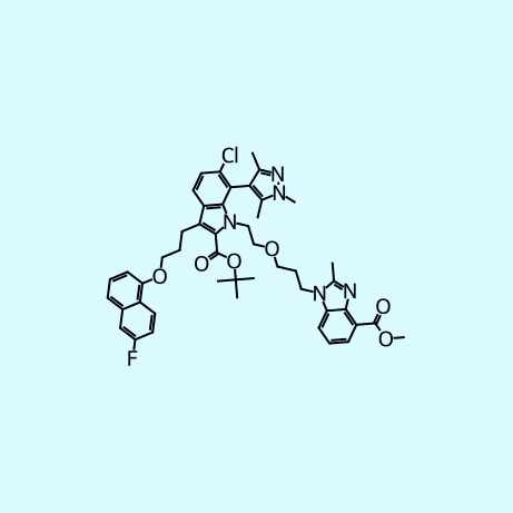 COC(=O)c1cccc2c1nc(C)n2CCCOCCn1c(C(=O)OC(C)(C)C)c(CCCOc2cccc3cc(F)ccc23)c2ccc(Cl)c(-c3c(C)nn(C)c3C)c21